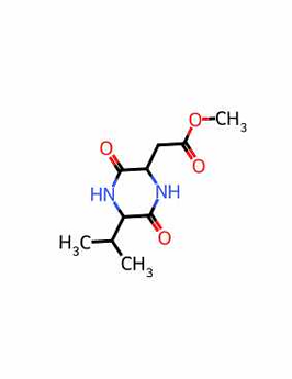 COC(=O)CC1NC(=O)C(C(C)C)NC1=O